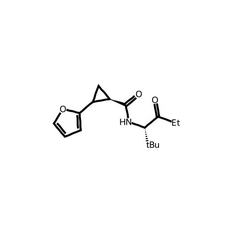 CCC(=O)[C@@H](NC(=O)[C@@H]1CC1c1ccco1)C(C)(C)C